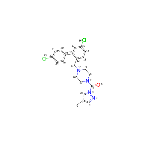 Cc1cnn(C(=O)N2CCN(Cc3ccc(Cl)cc3-c3ccc(Cl)cc3)CC2)c1